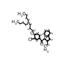 CCCCN(CCCC)CCCOc1ccc(C(=O)c2c(CC)cc3ccccn23)cc1Cl